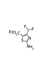 CCOC(=O)c1sc(N)nc1C(F)F